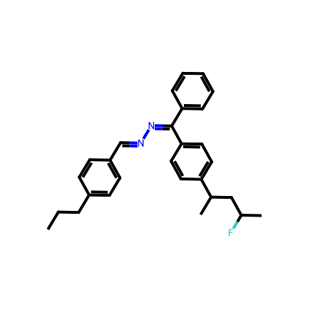 CCCc1ccc(C=NN=C(c2ccccc2)c2ccc(C(C)CC(C)F)cc2)cc1